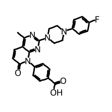 Cc1nc(N2CCN(c3ccc(F)cc3)CC2)nc2c1ccc(=O)n2-c1ccc(C(=O)O)cc1